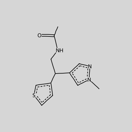 CC(=O)NCC(c1ccsc1)c1cnn(C)c1